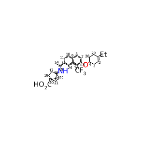 CC[C@H]1CC[C@@H](Oc2ccc3ccc(C(C)NC45CCC(C(=O)O)(CC4)C5)cc3c2C(F)(F)F)CC1